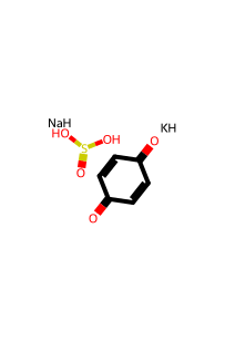 O=C1C=CC(=O)C=C1.O=S(O)O.[KH].[NaH]